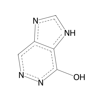 Oc1nncc2nc[nH]c12